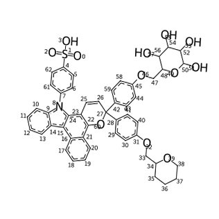 O=S(=O)(O)c1ccc(-n2c3ccccc3c3c4ccccc4c4c(c32)C=CC(c2ccc(OCC3CCCCO3)cc2)(c2ccc(OCC3OC(O)C(O)C(O)C3O)cc2)O4)cc1